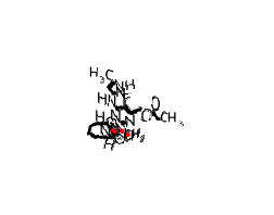 CCC(=O)OCc1nc(N(C)C2C[C@H]3CCC[C@@H](C2)N3S(=O)(=O)CC)nc(Nc2cc(C)[nH]n2)c1F